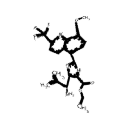 CCOC(=O)c1nc(-c2ccc(OC)c3nc(C(F)(F)F)ccc23)oc1[C@@H](N)C(C)C